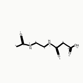 CC(=O)NCCNC(=O)CC(=O)O